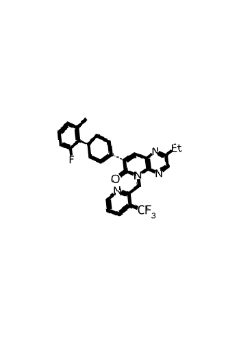 CCc1cnc2c(cc([C@H]3CC[C@H](c4c(C)cccc4F)CC3)c(=O)n2Cc2ncccc2C(F)(F)F)n1